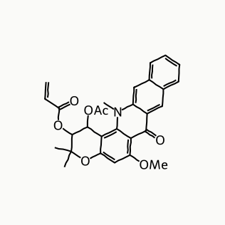 C=CC(=O)OC1C(OC(C)=O)c2c(cc(OC)c3c(=O)c4cc5ccccc5cc4n(C)c23)OC1(C)C